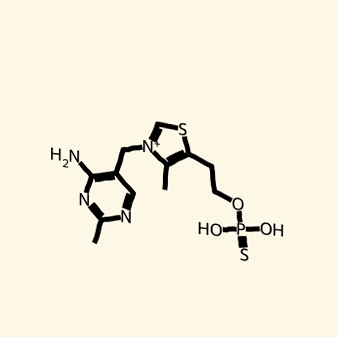 Cc1ncc(C[n+]2csc(CCOP(O)(O)=S)c2C)c(N)n1